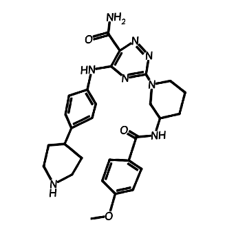 COc1ccc(C(=O)NC2CCCN(c3nnc(C(N)=O)c(Nc4ccc(C5CCNCC5)cc4)n3)C2)cc1